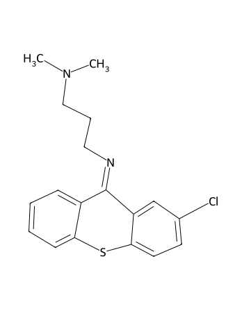 CN(C)CCC/N=c1\c2ccccc2sc2ccc(Cl)cc12